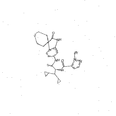 CC(C)n1nccc1C(=O)N[C@H](C(=O)Nc1cc2c(cn1)C1(CCOCC1)C(=O)N2)C(C1CC1)C1CC1